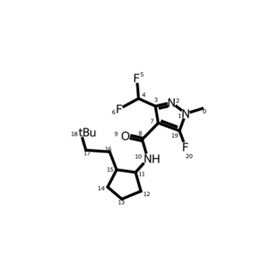 Cn1nc(C(F)F)c(C(=O)NC2CCCC2CCC(C)(C)C)c1F